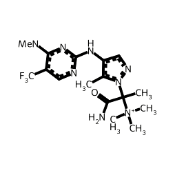 CNc1nc(Nc2cnn(C(C)(C(N)=O)[N+](C)(C)C)c2C)ncc1C(F)(F)F